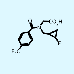 O=C(O)CN(CC1CC1F)C(=O)c1ccc(C(F)(F)F)cc1